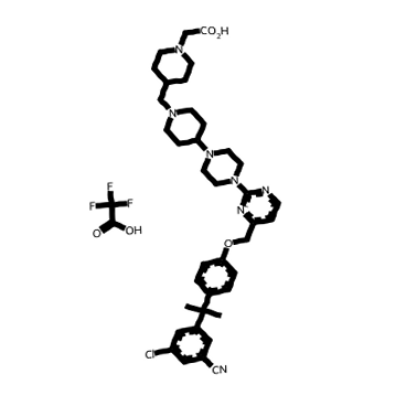 CC(C)(c1ccc(OCc2ccnc(N3CCN(C4CCN(CC5CCN(CC(=O)O)CC5)CC4)CC3)n2)cc1)c1cc(Cl)cc(C#N)c1.O=C(O)C(F)(F)F